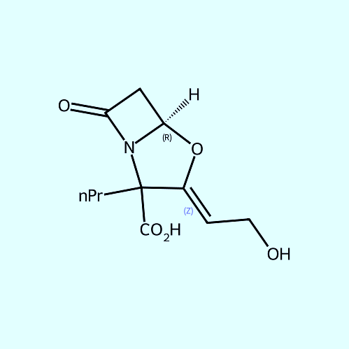 CCCC1(C(=O)O)/C(=C/CO)O[C@@H]2CC(=O)N21